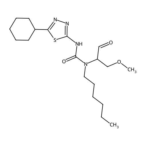 CCCCCCN(C(=O)Nc1nnc(C2CCCCC2)s1)C(C=O)COC